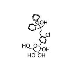 CC(C)(CCc1cc([C@@H]2OC(CO)[C@@H](O)C(O)C2O)ccc1Cl)[Si](O)(c1ccccc1)c1ccccc1